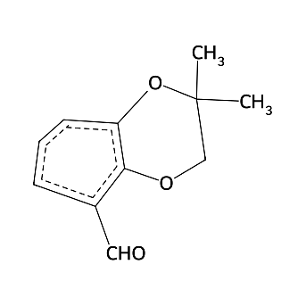 CC1(C)COc2c(C=O)cccc2O1